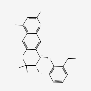 CCc1ccccc1N[C@@H]1c2cc3nc(C)cc(C)c3cc2OC(C)(C)[C@@H]1O